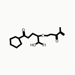 C=C(C)C(=O)CCCC(CCC(=O)C1CCCCC1)C(O)CC